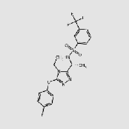 CCn1c(Oc2ccc(F)cc2)nnc1[C@@H](C)NS(=O)(=O)c1cccc(C(F)(F)F)c1